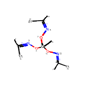 CC/C(C)=N\O[Si](C)(O/N=C(/C)CC)O/N=C(\C)CC